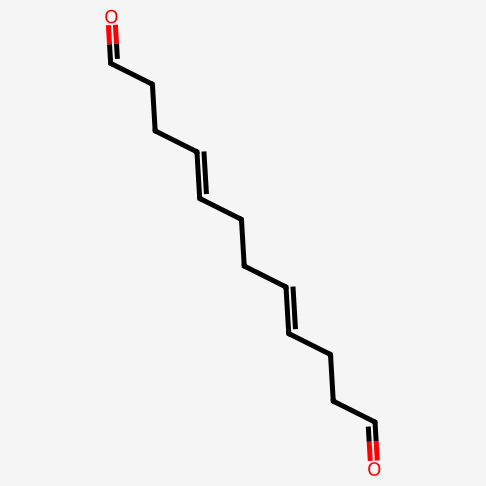 O=CCCC=CCCC=CCCC=O